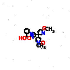 COC1=NCC(c2ccn(C)c(=O)c2)(c2cnn(-c3ccccc3C(=O)O)c2)C=C1